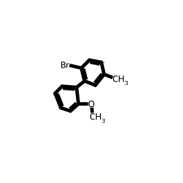 COc1ccccc1-c1cc(C)[c]cc1Br